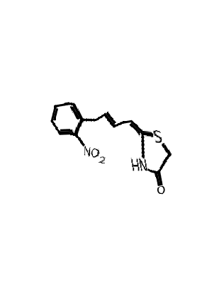 O=C1CSC(=CC=Cc2ccccc2[N+](=O)[O-])N1